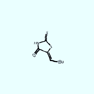 CC(C)(C)/C=C1\SC(=S)NC1=O